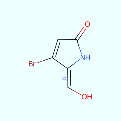 O=C1C=C(Br)/C(=C/O)N1